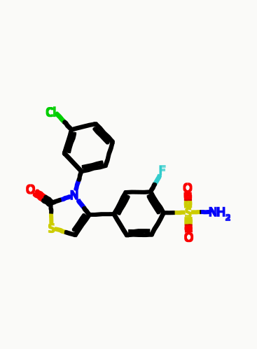 NS(=O)(=O)c1ccc(-c2csc(=O)n2-c2cccc(Cl)c2)cc1F